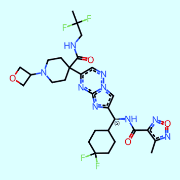 Cc1nonc1C(=O)N[C@H](c1cn2ncc(C3(C(=O)NCC(C)(F)F)CCN(C4COC4)CC3)nc2n1)C1CCC(F)(F)CC1